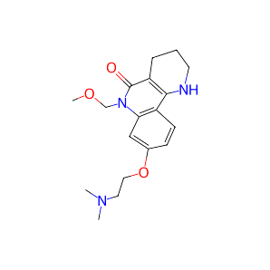 COCn1c(=O)c2c(c3ccc(OCCN(C)C)cc31)NCCC2